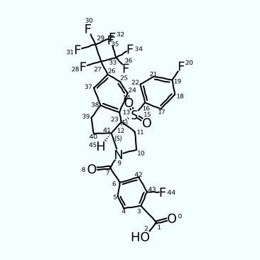 O=C(O)c1ccc(C(=O)N2CC[C@]3(S(=O)(=O)c4ccc(F)cc4)c4ccc(C(F)(C(F)(F)F)C(F)(F)F)cc4CC[C@H]23)cc1F